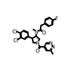 Cc1cc(C(=O)N2CC(c3ccc(Cl)c(Cl)c3)C(N(C)C(=O)Cc3ccc(F)cc3)C2)cnn1